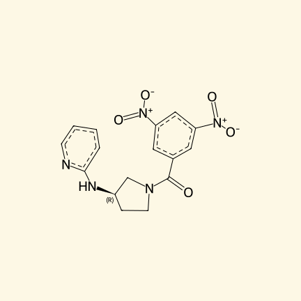 O=C(c1cc([N+](=O)[O-])cc([N+](=O)[O-])c1)N1CC[C@@H](Nc2ccccn2)C1